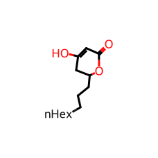 CCCCCCCCCC1CC(O)=CC(=O)O1